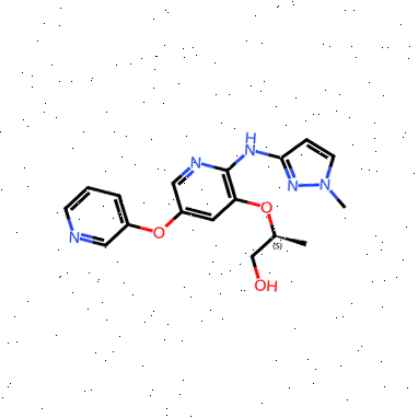 C[C@@H](CO)Oc1cc(Oc2cccnc2)cnc1Nc1ccn(C)n1